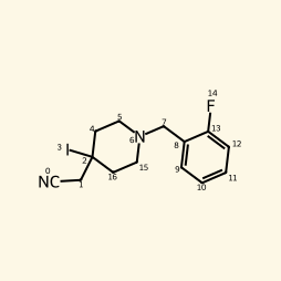 N#CCC1(I)CCN(Cc2ccccc2F)CC1